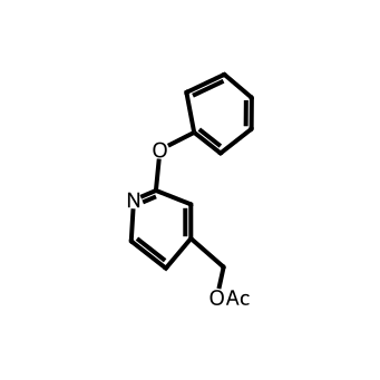 CC(=O)OCc1ccnc(Oc2ccccc2)c1